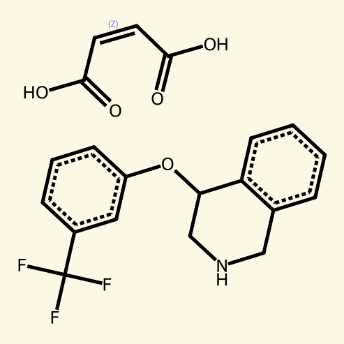 FC(F)(F)c1cccc(OC2CNCc3ccccc32)c1.O=C(O)/C=C\C(=O)O